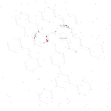 Cc1ccc2c(c1)c1cc(C)ccc1n2-c1ccc(-c2cc(-c3ccccc3)nc(-c3ccccc3)n2)cc1-c1cc(-c2ccccc2)nc(-c2cccc(-c3cccc(N4c5ccccc5B5c6ccccc6N(c6ccccc6)c6cccc4c65)c3)c2)n1